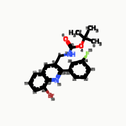 CC(C)(C)OC(=O)NCc1cc2cccc(Br)c2nc1-c1cccc(F)c1